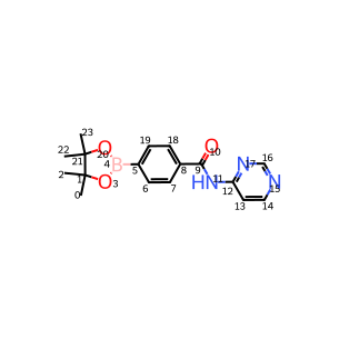 CC1(C)OB(c2ccc(C(=O)Nc3ccncn3)cc2)OC1(C)C